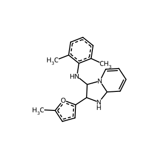 Cc1ccc(C2NC3C=CC=CN3C2Nc2c(C)cccc2C)o1